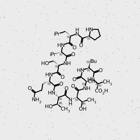 CC[C@H](C)[C@H](NC(=O)[C@H](C)NC(=O)[C@@H](NC(=O)[C@@H](NC(=O)[C@H](CCC(N)=O)NC(=O)[C@H](CO)NC(=O)[C@@H](NC(=O)[C@H](CC(C)C)NC(=O)[C@@H]1CCCN1)C(C)C)[C@@H](C)O)[C@@H](C)O)C(=O)N[C@@H](C)C(=O)O